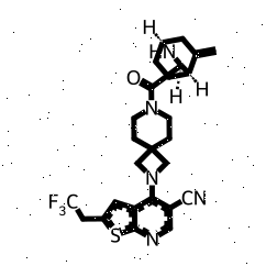 C=C1C[C@@H]2CC[C@H]1[C@@H](C(=O)N1CCC3(CC1)CN(c1c(C#N)cnc4sc(CC(F)(F)F)cc14)C3)N2